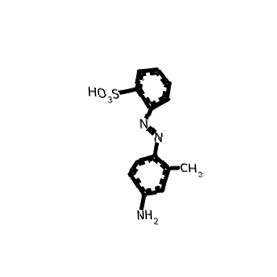 Cc1cc(N)ccc1/N=N/c1ccccc1S(=O)(=O)O